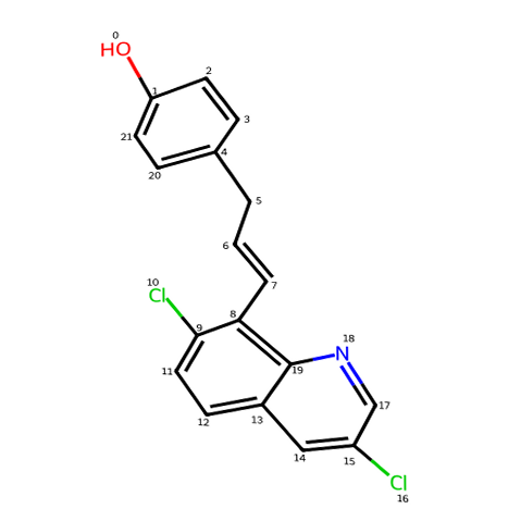 Oc1ccc(CC=Cc2c(Cl)ccc3cc(Cl)cnc23)cc1